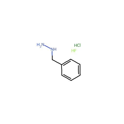 Cl.F.NNCc1ccccc1